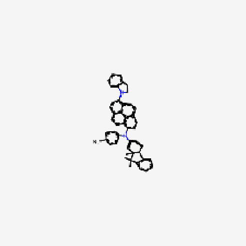 CC1(C)c2ccccc2C2C=CC(N(c3ccc(C#N)cc3)c3ccc4ccc5c(N6CCc7ccccc76)ccc6ccc3c4c65)=CC21C